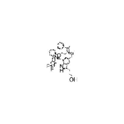 C[C@H](Cc1cc(C#N)c2[nH]cc(CCCO)c2c1)N(CCOc1ccccc1OCC(F)(F)F)[C@H](C)c1ccccc1